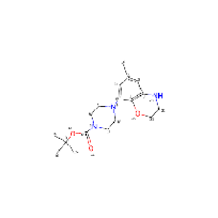 Cc1cc2c(c(N3CCN(C(=O)OC(C)(C)C)CC3)c1)OCCN2